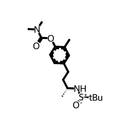 Cc1cc(CC[C@@H](C)N[S@+]([O-])C(C)(C)C)ccc1OC(=O)N(C)C